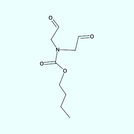 CCCCOC(=O)N(CC=O)CC=O